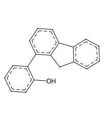 Oc1ccccc1-c1cccc2c1Cc1ccccc1-2